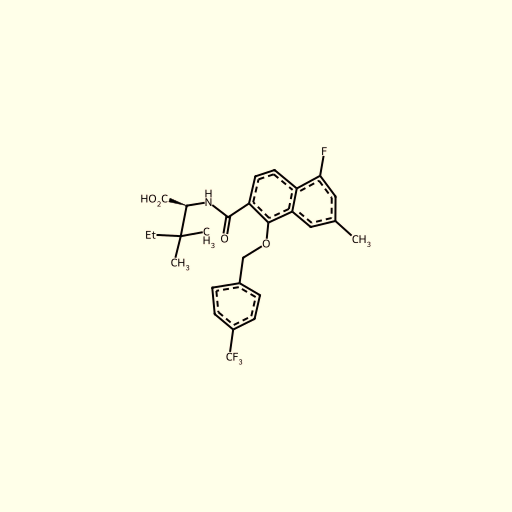 CCC(C)(C)[C@H](NC(=O)c1ccc2c(F)cc(C)cc2c1OCc1ccc(C(F)(F)F)cc1)C(=O)O